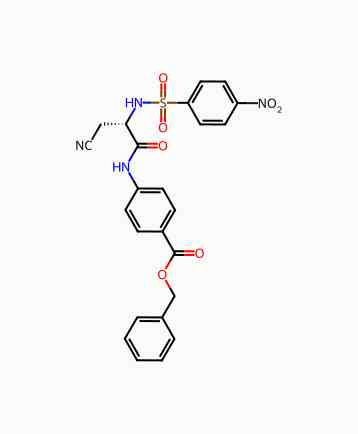 N#CC[C@H](NS(=O)(=O)c1ccc([N+](=O)[O-])cc1)C(=O)Nc1ccc(C(=O)OCc2ccccc2)cc1